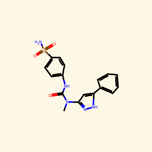 CN(C(=O)Nc1ccc(S(N)(=O)=O)cc1)c1cc(-c2ccccc2)[nH]n1